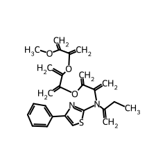 C=C(OC)C(=C)OC(=C)C(=C)OC(=C)C(=C)N(C(=C)CC)c1nc(-c2ccccc2)cs1